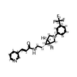 O=C(/C=C/c1cccnc1)NCC[C@@H]1[C@H]2CN(c3cccc(C(F)(F)F)c3)C[C@@H]12